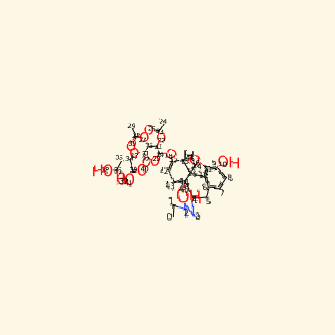 CCN(C)[C@@H]1Cc2ccc(O)c3c2[C@@]2(C)[C@@H](O3)C(OC(=O)[C@H](OC(C)=O)[C@@H](OC(C)=O)C(=O)O[C@@H](CC(=O)O)C(=O)O)=CC[C@@]12O